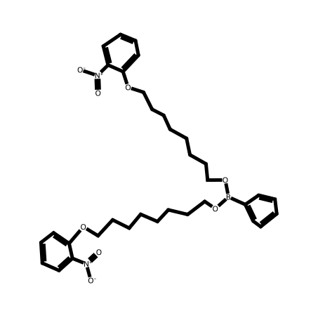 O=[N+]([O-])c1ccccc1OCCCCCCCCOB(OCCCCCCCCOc1ccccc1[N+](=O)[O-])c1ccccc1